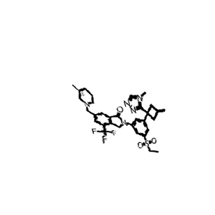 CCS(=O)(=O)c1cc(N2Cc3c(cc(CN4CCC[C@H](C)C4)cc3C(F)(F)F)C2=O)cc(C2(c3nncn3C)CC(C)C2)c1